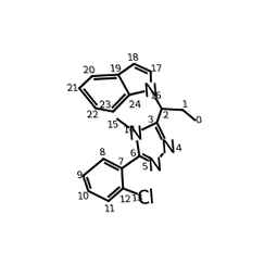 CCC(c1nnc(-c2ccccc2Cl)n1C)n1ccc2ccccc21